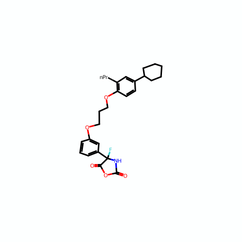 CCCc1cc(C2CCCCC2)ccc1OCCCOc1cccc(C2(F)NC(=O)OC2=O)c1